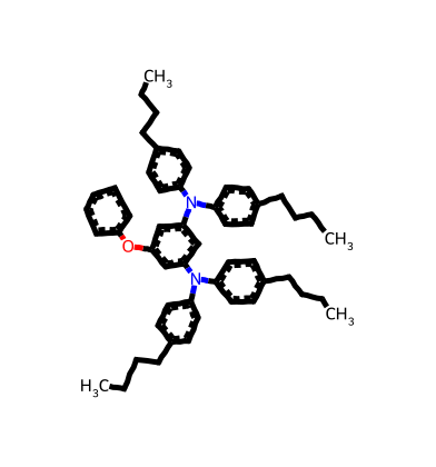 CCCCc1ccc(N(c2ccc(CCCC)cc2)c2cc(Oc3ccccc3)cc(N(c3ccc(CCCC)cc3)c3ccc(CCCC)cc3)c2)cc1